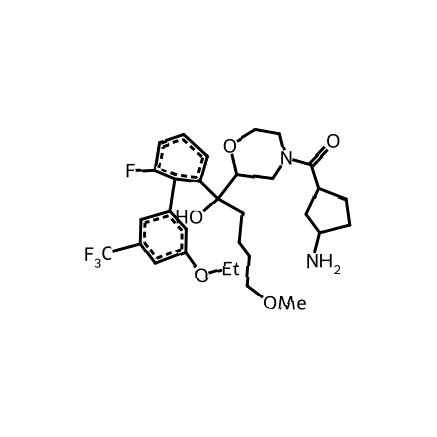 CCOc1cc(-c2c(F)cccc2C(O)(CCCCOC)C2CN(C(=O)C3CCC(N)C3)CCO2)cc(C(F)(F)F)c1